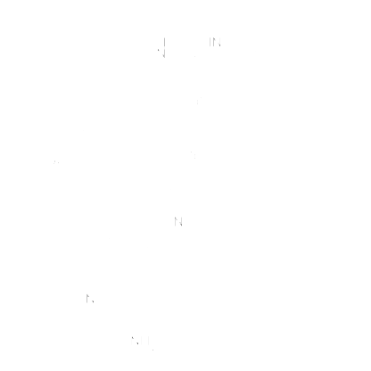 CCn1c(=O)c(-c2cc(NC(=O)Nc3ccccc3)c(F)cc2Br)cc2cnc(N)cc21